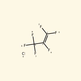 FC(F)=C(F)C(F)(F)F.[C]